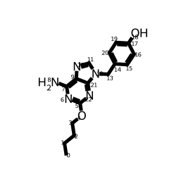 CCCCOc1nc(N)c2ncn(Cc3ccc(O)cc3)c2n1